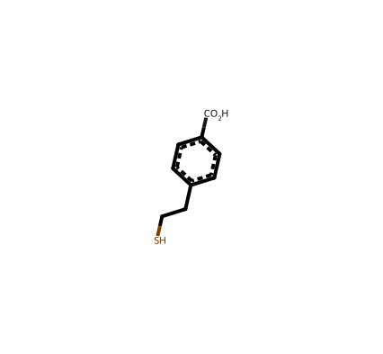 O=C(O)c1ccc(CCS)cc1